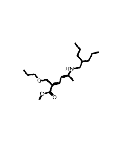 CCCOC/C(=C\C=C(/C)NCC(CCC)CCC)C(=O)OC